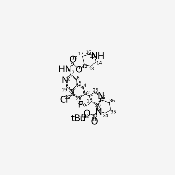 Cc1c(-c2cc3cc(NC(=O)OC4CCNCC4)ncc3c(Cl)c2F)cnc2c1N(C(=O)OC(C)(C)C)CCC2